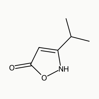 CC(C)c1cc(=O)o[nH]1